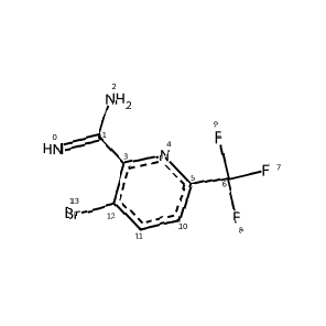 N=C(N)c1nc(C(F)(F)F)ccc1Br